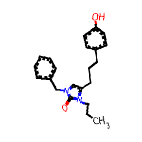 CCCn1c(CCCc2ccc(O)cc2)cn(Cc2ccccc2)c1=O